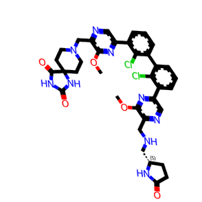 COc1nc(-c2cccc(-c3cccc(-c4cnc(CN5CCC6(CC5)NC(=O)NC6=O)c(OC)n4)c3Cl)c2Cl)cnc1CNC[C@@H]1CCC(=O)N1